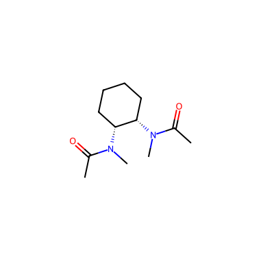 CC(=O)N(C)[C@@H]1CCCC[C@@H]1N(C)C(C)=O